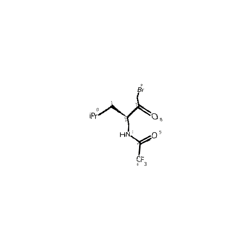 CC(C)C[C@H](NC(=O)C(F)(F)F)C(=O)Br